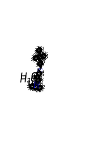 CC1(C)c2cc(/C=C/c3ccc(-c4c5ccccc5c(-c5ccccc5)c5ccccc45)cc3)ccc2C2C=CC(N3c4ccccc4Cc4ccccc43)=CC21